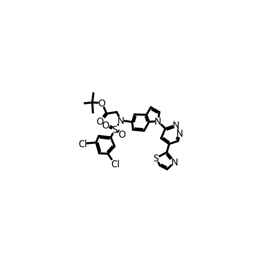 CC(C)(C)OC(=O)CN(c1ccc2c(ccn2-c2cc(-c3nccs3)cnn2)c1)S(=O)(=O)c1cc(Cl)cc(Cl)c1